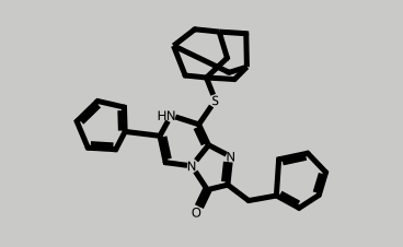 O=c1c(Cc2ccccc2)nc2c(SC34CC5CC(CC(C5)C3)C4)[nH]c(-c3ccccc3)cn1-2